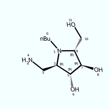 CCCCN1[C@H](CN)[C@@H](O)[C@H](O)[C@H]1CO